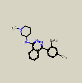 CNc1cc(C(F)(F)F)ccc1-c1nnc(N[C@@H]2CCCN(C)C2)c2ccccc12